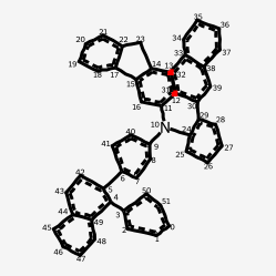 c1ccc(-c2c(-c3ccc(N(c4ccc5c(c4)-c4ccccc4C5)c4ccccc4-c4ccc5ccccc5c4)cc3)ccc3ccccc23)cc1